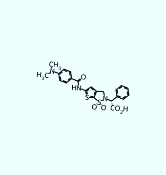 CN(C)c1ccc(C(=O)Nc2cc3c(s2)S(=O)(=O)N([C@@H](C(=O)O)c2ccccc2)C3)cc1